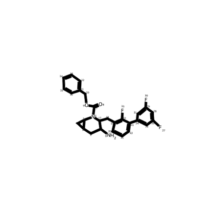 NC1CC2CC2N(C(=O)OCc2ccccc2)C1Cc1cccc(-c2cc(F)cc(F)c2)c1F